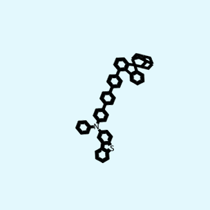 c1ccc(N(c2ccc(-c3ccc(-c4ccc(-c5cccc6c5-c5ccccc5C65C6CC7CC(C6)CC5C7)cc4)cc3)cc2)c2ccc3sc4ccccc4c3c2)cc1